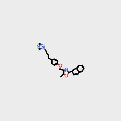 Cc1oc(-c2ccc3ccccc3c2)nc1COc1ccc(CCCCn2cncn2)cc1